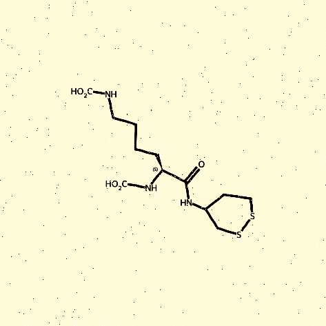 O=C(O)NCCCC[C@H](NC(=O)O)C(=O)NC1CCSSC1